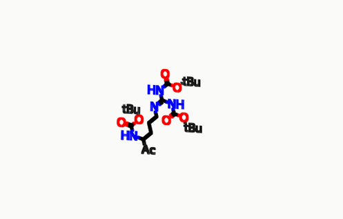 CC(=O)C(CCCN=C(NC(=O)OC(C)(C)C)NC(=O)OC(C)(C)C)NC(=O)OC(C)(C)C